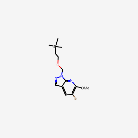 COc1nc2c(cnn2COCC[Si](C)(C)C)cc1Br